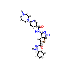 CN1CCCN(c2ccc(C(=O)Nc3n[nH]c4sc(C(=O)NN(C)c5ccccc5)cc34)cn2)CC1